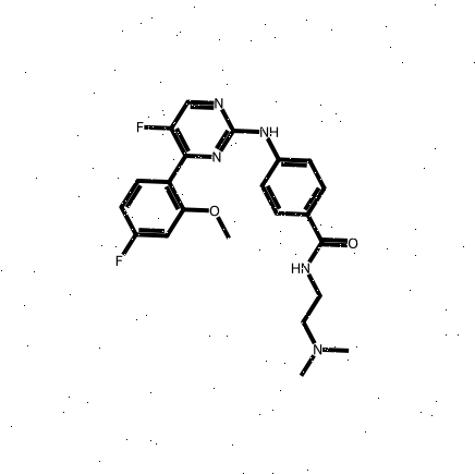 COc1cc(F)ccc1-c1nc(Nc2ccc(C(=O)NCCN(C)C)cc2)ncc1F